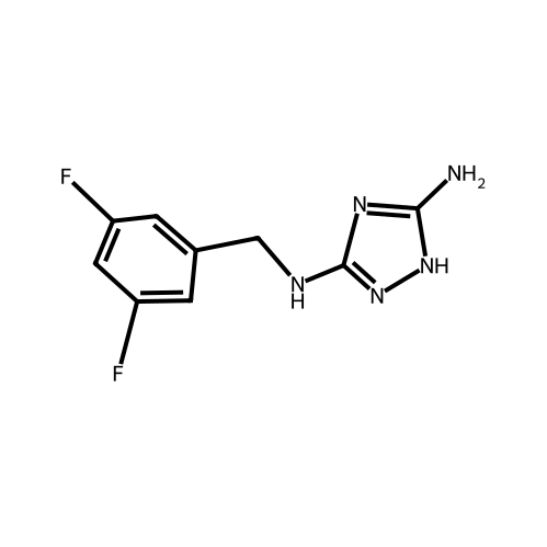 Nc1nc(NCc2cc(F)cc(F)c2)n[nH]1